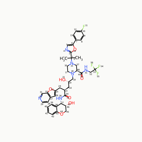 CC(C)(c1ncc(-c2ccc(F)cc2)o1)N1CCN(C[C@@H](O)C[C@H](Cc2cc3ccncc3o2)C(=O)N[C@H]2c3ccccc3OC[C@H]2O)[C@H](C(=O)NCC(F)(F)F)C1